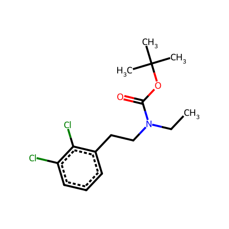 CCN(CCc1cccc(Cl)c1Cl)C(=O)OC(C)(C)C